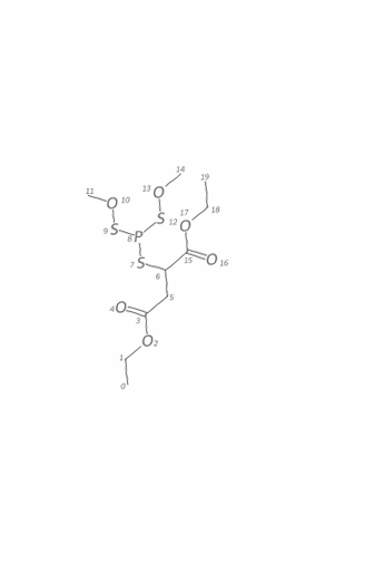 CCOC(=O)CC(SP(SOC)SOC)C(=O)OCC